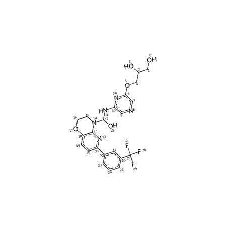 OCC(O)COc1cncc(NC(O)N2CCOc3ccc(-c4cccc(C(F)(F)F)c4)nc32)n1